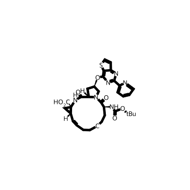 CC(C)(C)OC(=O)N[C@H]1CCCCC/C=C\[C@@H]2C[C@@]2(C(=O)O)NC(=O)[C@@H]2C[C@@H](Oc3nc(-c4ccccn4)nc4ccsc34)CN2C1=O